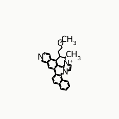 COCCC1c2c3ccncc3cc3c4ccc5ccccc5c4n4cc[n+](c4c23)C1C